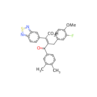 COc1ccc(C/C(C(=O)c2ccc(C)c(C)c2)=C(\C(=O)O)c2ccc3nsnc3c2)cc1F